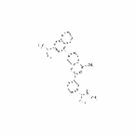 CNC(C)c1cccc(-c2cc(C)c3ccc(-c4cc(C(C)C)cc5ccccc45)cc3c2)c1